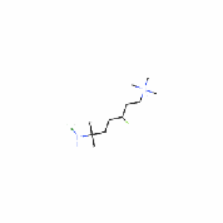 CC(C)(CCC(F)CC[N+](C)(C)C)NCl